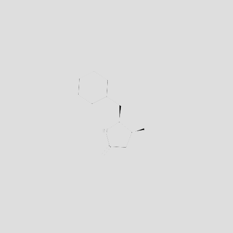 O=C1C[C@H](O)[C@H](CC2CCCCC2)N1